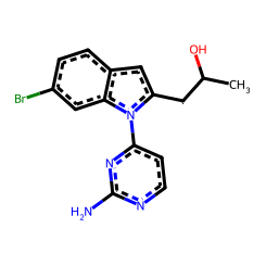 CC(O)[CH]c1cc2ccc(Br)cc2n1-c1ccnc(N)n1